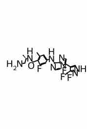 Cc1cc(Nc2nccn3c(-c4c[nH]nc4C(F)(F)F)cnc23)cc(F)c1C(=O)N[C@H](C)CN